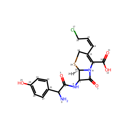 NC(C(=O)NC1C(=O)N2C(C(=O)O)=C(/C=C\CCl)CS[C@H]12)c1ccc(O)cc1